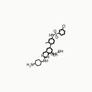 CCc1cc(-c2ccc(NS(=O)(=O)c3cccc(Cl)c3)cc2C)cc2cnc(NC3CCC(N)CC3)nc12.O=CO